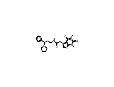 Cn1c(=O)c2c(ncn2CC(=O)NCSC(c2ccco2)N2CCCC2)n(C)c1=O